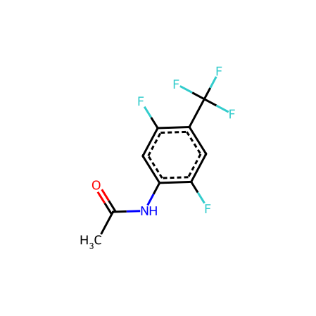 CC(=O)Nc1cc(F)c(C(F)(F)F)cc1F